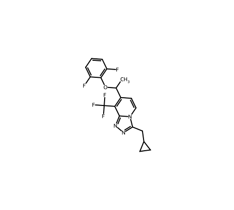 CC(Oc1c(F)cccc1F)c1ccn2c(CC3CC3)nnc2c1C(F)(F)F